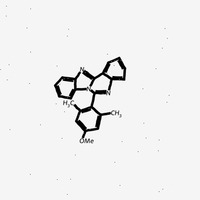 COc1cc(C)c(-c2nc3ccccc3c3nc4ccccc4n23)c(C)c1